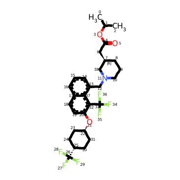 CC(C)OC(=O)C[C@H]1CCCN(Cc2cccc3ccc(O[C@H]4CC[C@@H](C(F)(F)F)CC4)c(C(F)(F)F)c23)C1